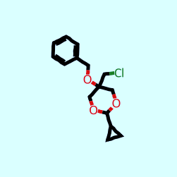 ClCC1(OCc2ccccc2)COC(C2CC2)OC1